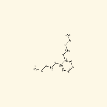 SCC[Se]Cc1ccccc1C[Se]CCS